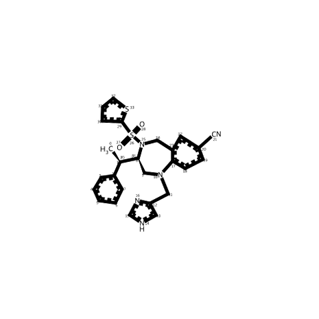 C[C@H](c1ccccc1)[C@@H]1CN(Cc2c[nH]cn2)c2ccc(C#N)cc2CN1S(=O)(=O)c1cccs1